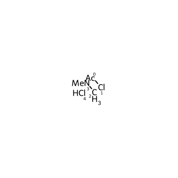 CC(=O)Cl.CNC.Cl